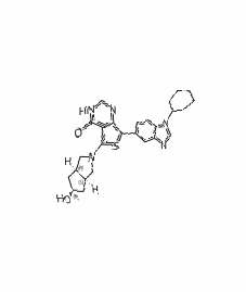 O=c1[nH]cnc2c(-c3ccc4c(c3)ncn4C3CCCCC3)sc(N3C[C@H]4C[C@@H](O)C[C@H]4C3)c12